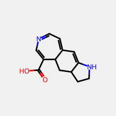 O=C(O)C1=CN=CC=C2C=C3NCCC3CC21